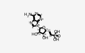 Nc1ncnc2c1ncn2[C@@H]1O[C@H](/C=C/P(=O)(O)O)[C@H](O)[C@H]1O